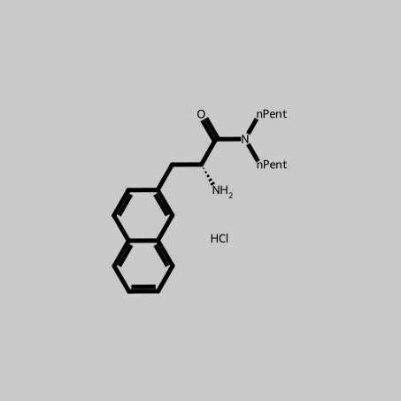 CCCCCN(CCCCC)C(=O)[C@H](N)Cc1ccc2ccccc2c1.Cl